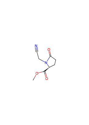 COC(=O)[C@@H]1CCC(=O)N1CC#N